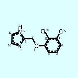 Clc1cccc(OCc2ncc[nH]2)c1Cl